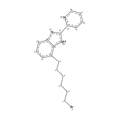 BrCCCCCCc1cccc2nc(-c3ccccn3)[nH]c12